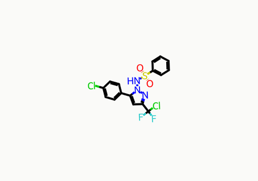 O=S(=O)(Nn1nc(C(F)(F)Cl)cc1-c1ccc(Cl)cc1)c1ccccc1